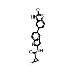 O=C(Nc1cn2cc(-c3ccc4sc(=O)[nH]c4c3)ccc2n1)C1CC1F